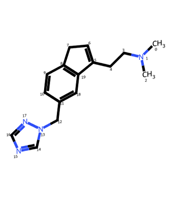 CN(C)CCC1=CCc2ccc(Cn3cncn3)cc21